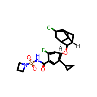 O=C(NS(=O)(=O)N1CCC1)c1cc(C2CC2)c(OC2[C@@H]3CC4C[C@H]2CC(Cl)(C4)C3)cc1F